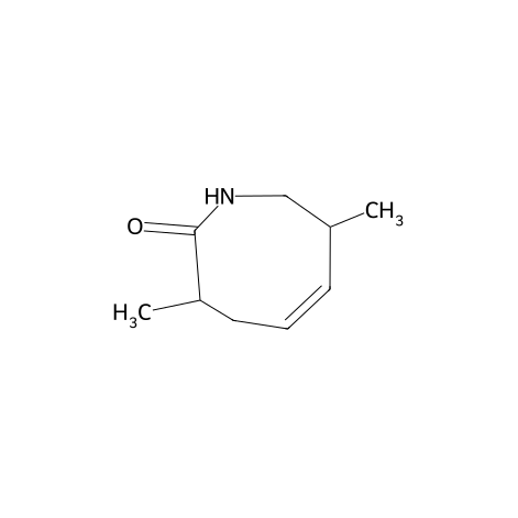 CC1/C=C\CC(C)C(=O)NC1